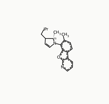 Cc1ccc2c(oc3ncccc32)c1N1C=CC(CC(C)C)[C@@H]1C